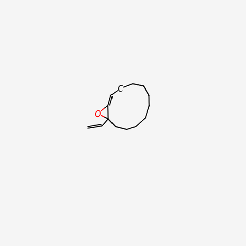 C=CC12CCCCCCCCCC=C1O2